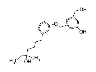 CCC(C)(O)CCCCc1cccc(OCc2cc(O)cc(CO)c2)c1